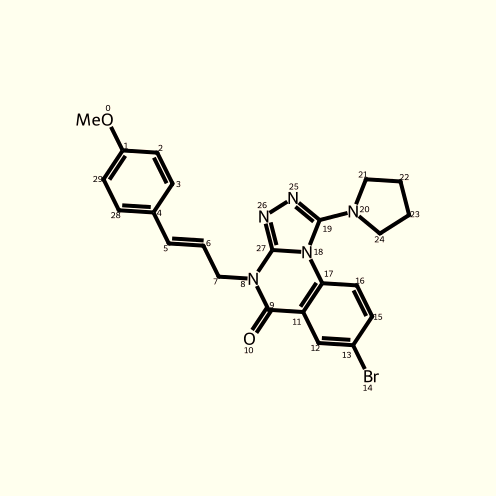 COc1ccc(/C=C/Cn2c(=O)c3cc(Br)ccc3n3c(N4CCCC4)nnc23)cc1